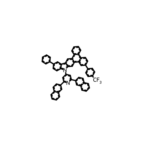 FC(F)(F)c1ccc(-c2ccc3c4ccccc4c4cc5c6cc(-c7ccccc7)ccc6n(-c6cc(-c7ccc8ccccc8c7)nc(-c7ccc8ccccc8c7)c6)c5cc4c3c2)cc1